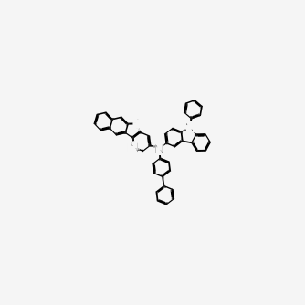 C1=C(N(c2ccc(-c3ccccc3)cc2)c2ccc3c(c2)c2ccccc2n3-c2ccccc2)CNc2c1sc1cc3ccccc3cc21